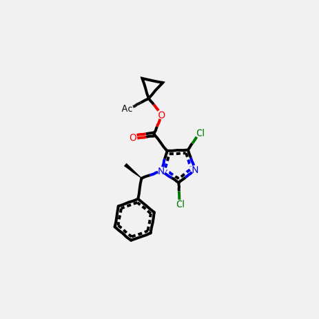 CC(=O)C1(OC(=O)c2c(Cl)nc(Cl)n2[C@H](C)c2ccccc2)CC1